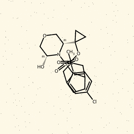 CN1CC2CCC(C1)N2C(=O)OC1([C@H]2COC[C@@H](O)N2S(=O)(=O)c2ccc(Cl)cc2)CC1